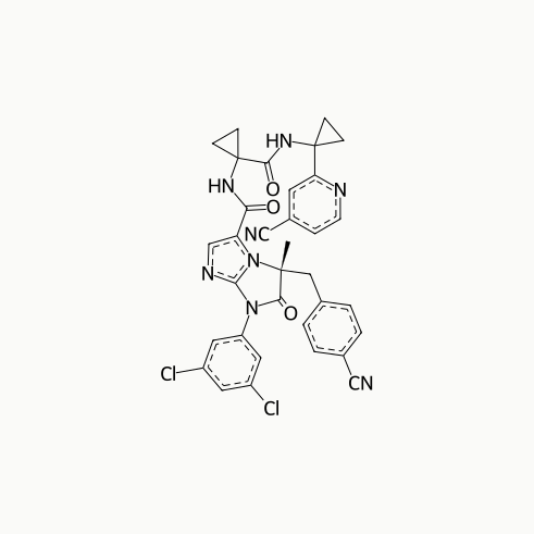 C[C@@]1(Cc2ccc(C#N)cc2)C(=O)N(c2cc(Cl)cc(Cl)c2)c2ncc(C(=O)NC3(C(=O)NC4(c5cc(C#N)ccn5)CC4)CC3)n21